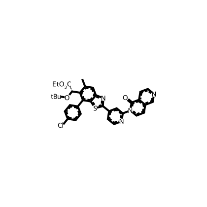 CCOC(=O)[C@@H](OC(C)(C)C)c1c(C)cc2nc(-c3ccnc(-n4ccc5cnccc5c4=O)c3)sc2c1-c1ccc(Cl)cc1